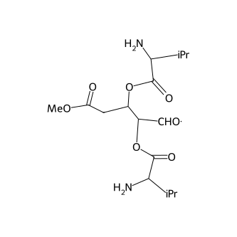 COC(=O)CC(OC(=O)C(N)C(C)C)C([C]=O)OC(=O)C(N)C(C)C